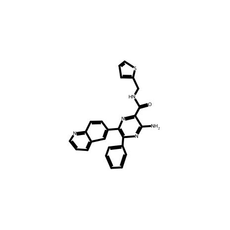 Nc1nc(-c2ccccc2)c(-c2ccc3ncccc3c2)nc1C(=O)NCc1cccs1